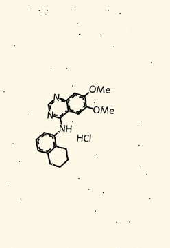 COc1cc2ncnc(Nc3cccc4c3CCCC4)c2cc1OC.Cl